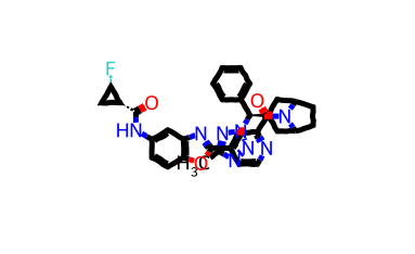 Cc1nnn([C@@H](c2ccccc2)C2CC3CCC(C2)N3C(=O)c2cc(-c3nc4cc(NC(=O)[C@@H]5C[C@@H]5F)ccc4o3)ccn2)n1